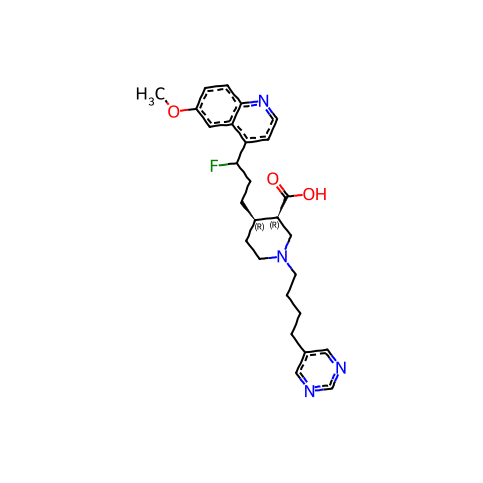 COc1ccc2nccc(C(F)CC[C@@H]3CCN(CCCCc4cncnc4)C[C@@H]3C(=O)O)c2c1